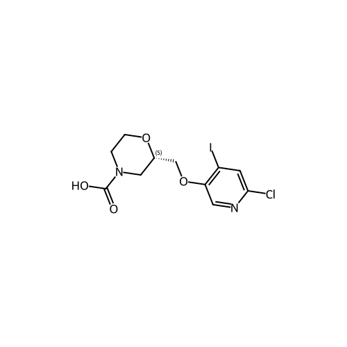 O=C(O)N1CCO[C@H](COc2cnc(Cl)cc2I)C1